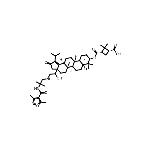 Cc1noc(C)c1C(=O)NC(C)(C)CNC[C@H](O)[C@@]12CC[C@]3(C)[C@H](CC[C@@H]4[C@@]5(C)CC[C@H](OC(=O)[C@H]6C[C@@H](C(=O)O)C6(C)C)C(C)(C)[C@@H]5CC[C@]43C)C1=C(C(C)C)C(=O)C2